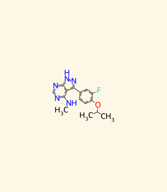 CNc1ncnc2[nH]nc(-c3ccc(OC(C)C)c(F)c3)c12